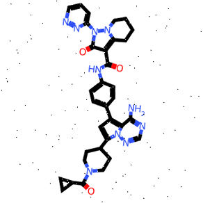 Nc1ncnn2c(C3CCN(C(=O)C4CC4)CC3)cc(-c3ccc(NC(=O)c4c5n(n(-c6cccnn6)c4=O)CCCC5)cc3)c12